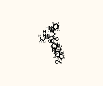 CC(=O)[C@H]1CC[C@H]2[C@@H]3CC[C@H]4C[C@H](OC(=O)[C@H](Cc5c[nH]c6ccccc56)NC(=O)[C@@H](N)CC(C)C)CC[C@]4(C)[C@H]3CC[C@]12C